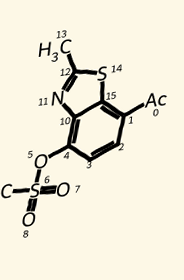 CC(=O)c1ccc(OS(=O)(=O)C(F)(F)F)c2nc(C)sc12